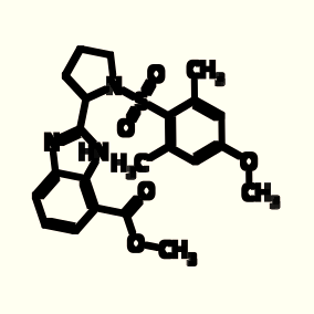 COC(=O)c1cccc2nc(C3CCCN3S(=O)(=O)c3c(C)cc(OC)cc3C)[nH]c12